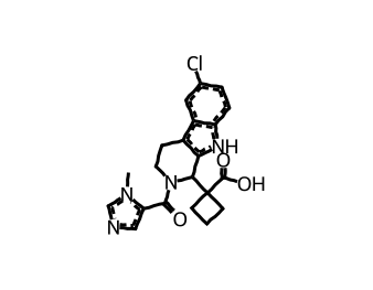 Cn1cncc1C(=O)N1CCc2c([nH]c3ccc(Cl)cc23)C1C1(C(=O)O)CCC1